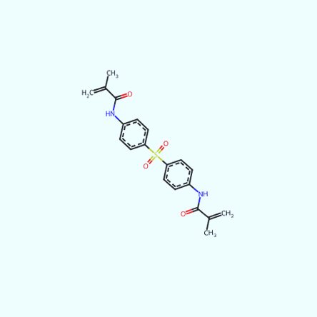 C=C(C)C(=O)Nc1ccc(S(=O)(=O)c2ccc(NC(=O)C(=C)C)cc2)cc1